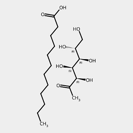 CC(=O)[C@H](O)[C@@H](O)[C@H](O)[C@H](O)CO.CCCCCCCCCCCC(=O)O